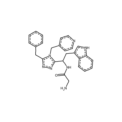 NCC(=O)NC(Cc1c[nH]c2ccccc12)c1nnc(Cc2ccccc2)n1Cc1ccncc1